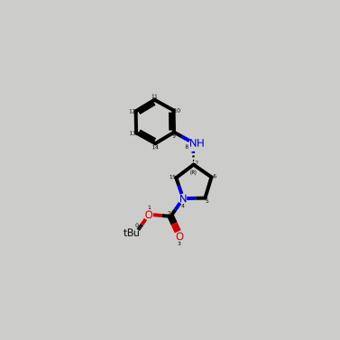 CC(C)(C)OC(=O)N1CC[C@@H](Nc2ccccc2)C1